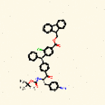 CC(C)(C)OC(=O)N[C@@H](Cc1ccc(N)cc1)C(=O)c1ccc([C](c2ccccc2)c2ccc(C(=O)OCC3c4ccccc4-c4ccccc43)cc2Cl)cc1